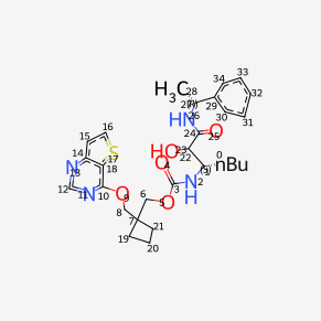 CCCC[C@H](NC(=O)OCC1(COc2ncnc3ccsc23)CCC1)C(O)C(=O)N[C@H](C)c1ccccc1